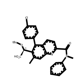 Cc1cc2nc(C(=O)N(C)c3ccccc3)ccc2c(-c2ccc(Cl)cc2)c1[C@H](OC(C)(C)C)C(=O)O